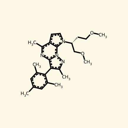 COCC[C@H](COC)n1ccc2c(C)nc3c(-c4c(C)cc(C)cc4C)c(C)nn3c21